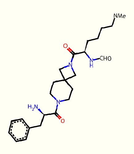 CNCCCC[C@@H](NC=O)C(=O)N1CC2(CCN(C(=O)[C@H](N)Cc3ccccc3)CC2)C1